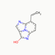 C=Cc1ccc2nc(O)c3cnc1n23